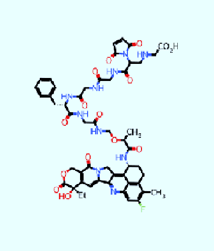 CC[C@@]1(O)C(=O)OCc2c1cc1n(c2=O)Cc2c-1nc1cc(F)c(C)c3c1c2[C@H](NC(=O)C(C)OCNC(=O)CNC(=O)[C@H](Cc1ccccc1)NC(=O)CNC(=O)CNC(=O)C(CNCC(=O)O)N1C(=O)C=CC1=O)CC3